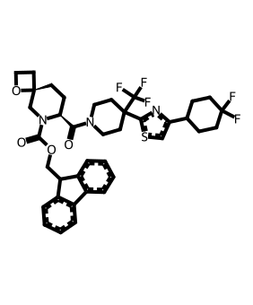 O=C([C@@H]1CC[C@@]2(CCO2)CN1C(=O)OCC1c2ccccc2-c2ccccc21)N1CCC(c2nc(C3CCC(F)(F)CC3)cs2)(C(F)(F)F)CC1